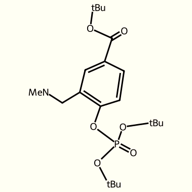 CNCc1cc(C(=O)OC(C)(C)C)ccc1OP(=O)(OC(C)(C)C)OC(C)(C)C